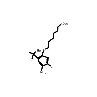 CCCCCCCCCCCCCCCCOc1cc(Cl)c(N)cc1C(C)(CC)CCCC